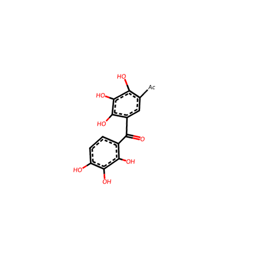 CC(=O)c1cc(C(=O)c2ccc(O)c(O)c2O)c(O)c(O)c1O